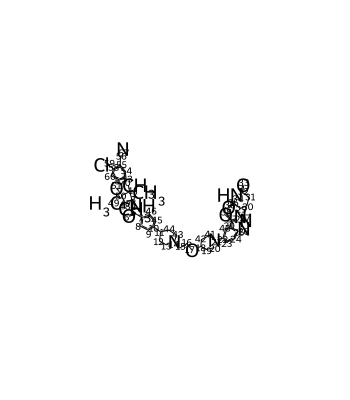 CC1(C)[C@H](NC(=O)c2ccc(C3CCN(CCOC4CCN(c5ccc6nnn(C7CCC(=O)NC7=O)c(=O)c6c5)CC4)CC3)cc2)C(C)(C)[C@H]1Oc1ccc(C#N)c(Cl)c1